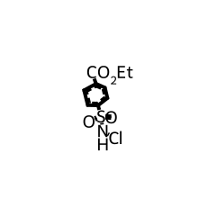 CCOC(=O)c1ccc(S(=O)(=O)NCl)cc1